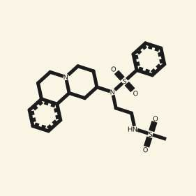 CS(=O)(=O)NCCN(C1CCN2CCc3ccccc3C2C1)S(=O)(=O)c1ccccc1